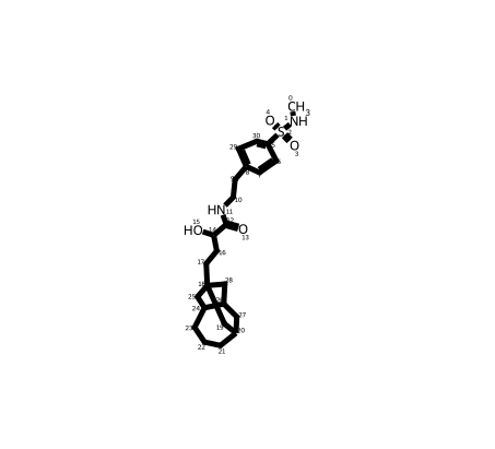 CNS(=O)(=O)c1ccc(CCNC(=O)C(O)CCC23CC4CCCC(C2)C(C4)C3)cc1